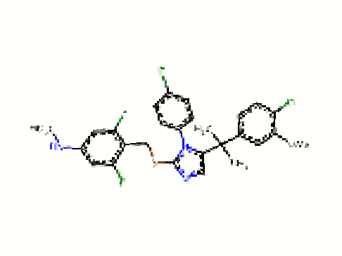 COc1cc(C(C)(C)c2cnc(SCc3c(F)cc(NC(=O)O)cc3F)n2-c2ccc(F)cc2)ccc1Cl